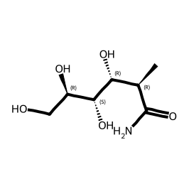 C[C@@H](C(N)=O)[C@@H](O)[C@H](O)[C@H](O)CO